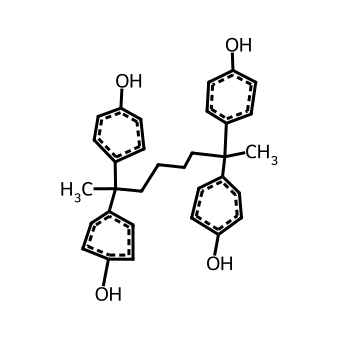 CC(CCCCC(C)(c1ccc(O)cc1)c1ccc(O)cc1)(c1ccc(O)cc1)c1ccc(O)cc1